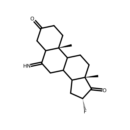 C[C@]12CCC(=O)CC1C(=N)CC1C2CC[C@]2(C)C(=O)[C@H](F)CC12